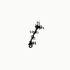 CC(C)(C)C1(C2CCCCCCC2)CN(CCCCCC(=O)OCCCCCNC(=O)CCCC[C@H]2SC[C@@H]3NC(=O)N[C@@H]32)NN1